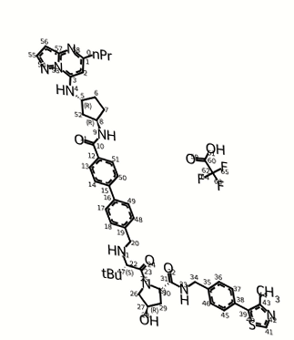 CCCc1cc(N[C@@H]2CC[C@@H](NC(=O)c3ccc(-c4ccc(CN[C@H](C(=O)N5C[C@H](O)C[C@H]5C(=O)NCc5ccc(-c6scnc6C)cc5)C(C)(C)C)cc4)cc3)C2)n2nccc2n1.O=C(O)C(F)(F)F